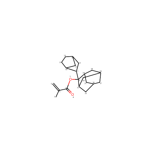 C=C(C)C(=O)OC1(C2CC3CCC2C3)C2CC3CC(C2)CC1C3